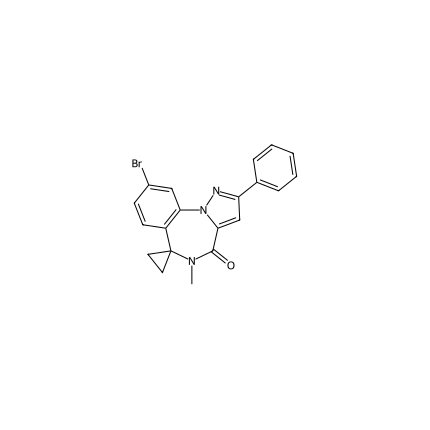 CN1C(=O)c2cc(-c3ccccc3)nn2-c2cc(Br)ccc2C12CC2